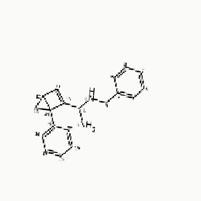 NC(NCc1ccccc1)C1=CC2CC12c1ccccc1